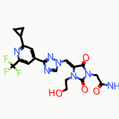 NC(=O)CN1C(=O)/C(=C/n2cnc(-c3cc(C4CC4)nc(C(F)(F)F)c3)n2)N(CCO)C1=O